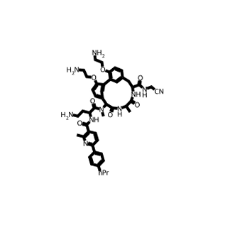 CCCc1ccc(-c2ccc(C(=O)NC(CCN)C(=O)N(C)C3C(=O)NC(C)C(=O)NC(C(=O)NCC#N)Cc4ccc(OCCN)c(c4)-c4cc3ccc4OCCN)c(C)n2)cc1